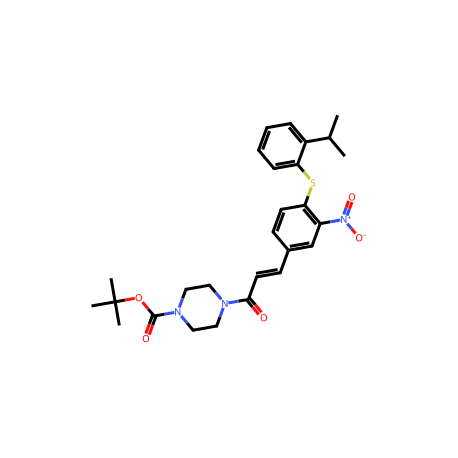 CC(C)c1ccccc1Sc1ccc(C=CC(=O)N2CCN(C(=O)OC(C)(C)C)CC2)cc1[N+](=O)[O-]